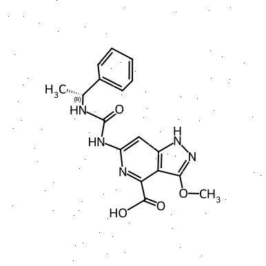 COc1n[nH]c2cc(NC(=O)N[C@H](C)c3ccccc3)nc(C(=O)O)c12